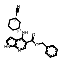 N#C[C@@H]1CCC[C@@H](Nc2c(C(=O)OCc3ccccc3)cnc3[nH]ccc23)C1